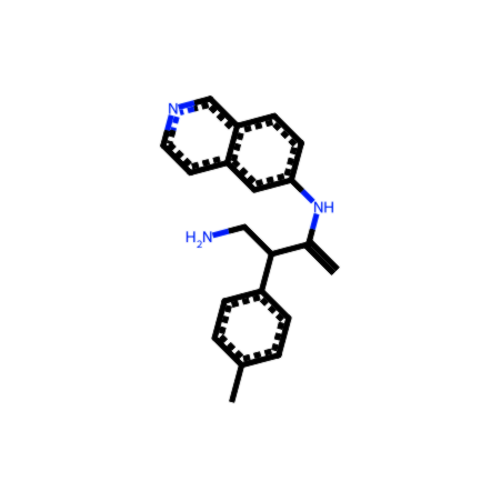 C=C(Nc1ccc2cnccc2c1)C(CN)c1ccc(C)cc1